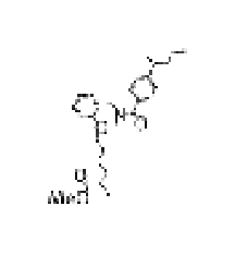 C=C/C=C(\C)c1ccc(C(=O)N(C)Cc2ccccc2OCCCCC(C)C(=O)OC)cc1